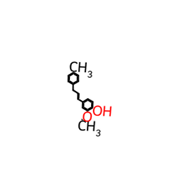 CCOc1cc(/C=C/Cc2ccc(C)cc2)ccc1O